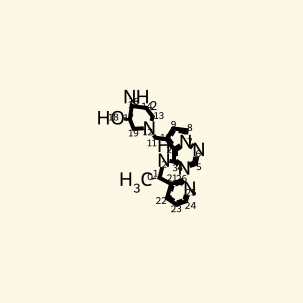 C[C@H](Nc1ncnn2ccc(CN3CC[C@@H](N)[C@H](O)C3)c12)c1cccnc1